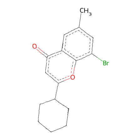 Cc1cc(Br)c2oc(C3CCCCC3)cc(=O)c2c1